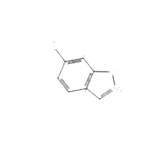 Clc1ccc2c(c1)O[N+]=C2